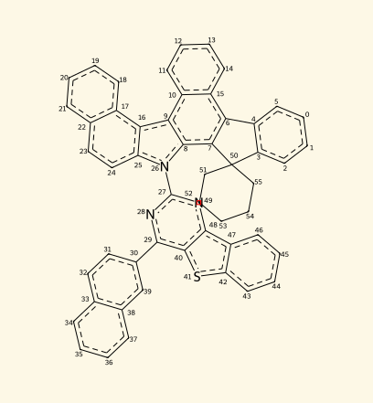 c1ccc2c(c1)-c1c(c3c(c4ccccc14)c1c4ccccc4ccc1n3-c1nc(-c3ccc4ccccc4c3)c3sc4ccccc4c3n1)C21CCCCC1